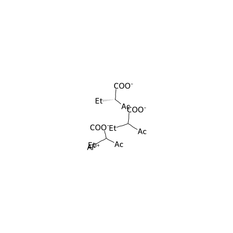 CCC(C(C)=O)C(=O)[O-].CCC(C(C)=O)C(=O)[O-].CC[C@@H](C(C)=O)C(=O)[O-].[Al+3]